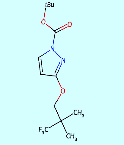 CC(C)(C)OC(=O)n1ccc(OCC(C)(C)C(F)(F)F)n1